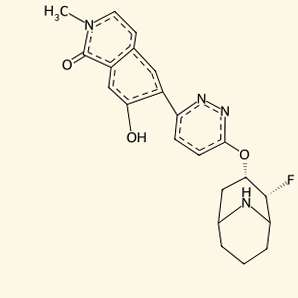 Cn1ccc2cc(-c3ccc(O[C@H]4CC5CCCC(N5)[C@H]4F)nn3)c(O)cc2c1=O